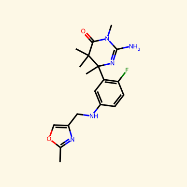 Cc1nc(CNc2ccc(F)c(C3(C)N=C(N)N(C)C(=O)C3(C)C)c2)co1